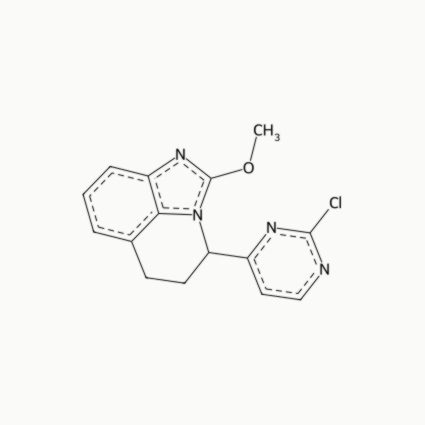 COc1nc2cccc3c2n1C(c1ccnc(Cl)n1)CC3